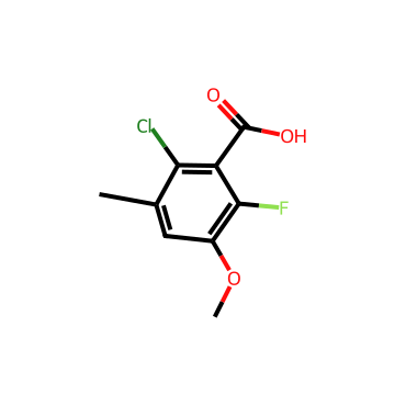 COc1cc(C)c(Cl)c(C(=O)O)c1F